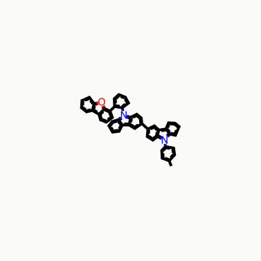 Cc1ccc(-n2c3ccccc3c3cc(-c4ccc5c(c4)c4ccccc4n5-c4ccccc4-c4cccc5c4oc4ccccc45)ccc32)cc1